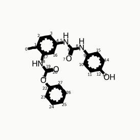 Cc1ccc(NC(=O)Nc2ccc(O)cc2)cc1NC(=O)Oc1ccccc1